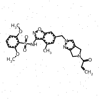 C=CC(=O)N1Cc2cn(Cc3cc(C)c4c(NS(=O)(=O)c5c(OC)cccc5OC)noc4c3)nc2C1